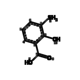 O=C(O)c1cccc([SiH3])c1O